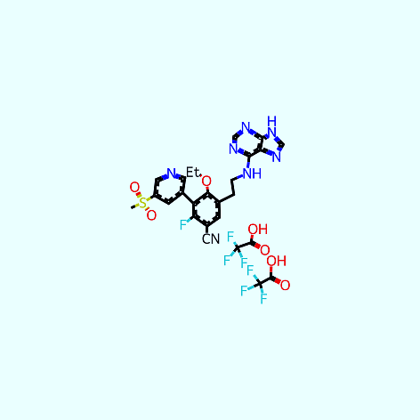 CCOc1c(CCNc2ncnc3[nH]cnc23)cc(C#N)c(F)c1-c1cncc(S(C)(=O)=O)c1.O=C(O)C(F)(F)F.O=C(O)C(F)(F)F